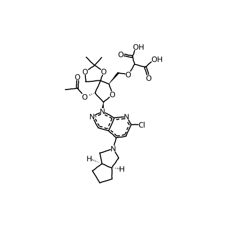 CC(=O)O[C@H]1[C@H](n2ncc3c(N4C[C@H]5CCC[C@H]5C4)cc(Cl)nc32)O[C@H](COC(C(=O)O)C(=O)O)C12COC(C)(C)O2